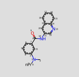 CCCN(C)c1cccc(C(=O)Nc2cnc3ccccc3c2)c1